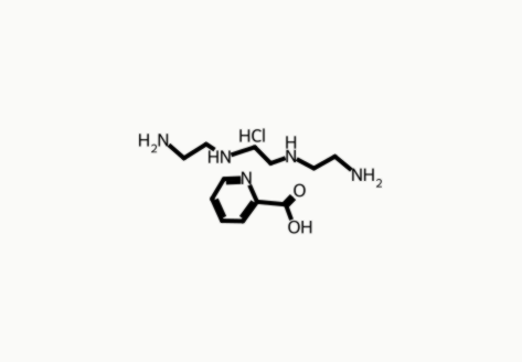 Cl.NCCNCCNCCN.O=C(O)c1ccccn1